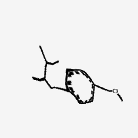 COc1ccc(CC(C)[C](C)C)cc1